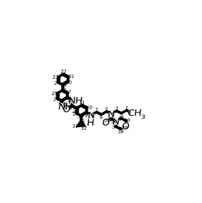 CCCCN(CCCNc1ccc(C(=O)Nc2cc(-c3ccccc3)ccc2N)cc1C1CC1)C(=O)N1CCOCC1